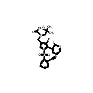 CC(C)(C)CN(Cc1cn(S(=O)(=O)c2ccccc2C#N)c(-c2cccnc2F)c1F)C(=O)O